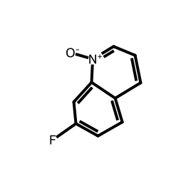 [O-][n+]1cccc2ccc(F)cc21